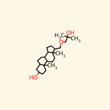 CC(C)(O)COCC1CCC2C3CCC4CC(O)CCC4(C)C3CCC12C